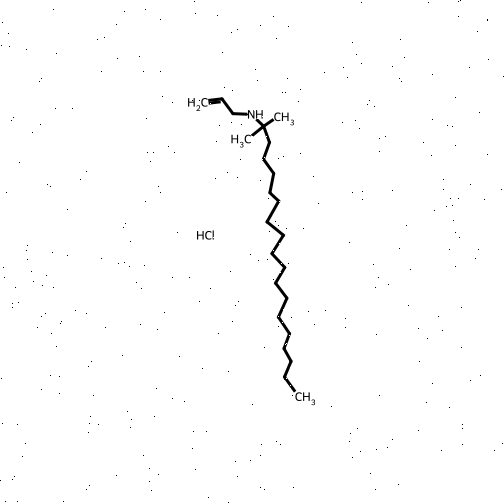 C=CCNC(C)(C)CCCCCCCCCCCCCCCCC.Cl